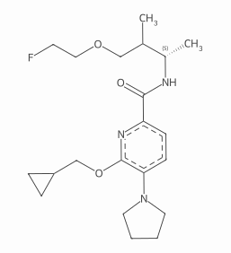 CC(COCCF)[C@H](C)NC(=O)c1ccc(N2CCCC2)c(OCC2CC2)n1